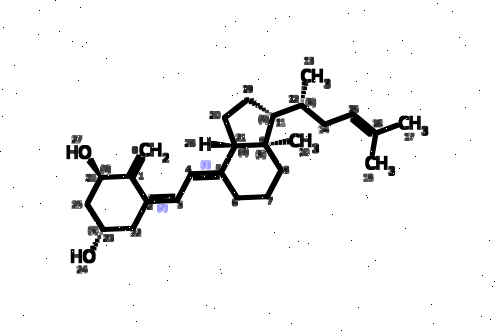 C=C1/C(=C\C=C2/CCC[C@]3(C)[C@@H]([C@H](C)CC=C(C)C)CC[C@@H]23)C[C@H](O)C[C@H]1O